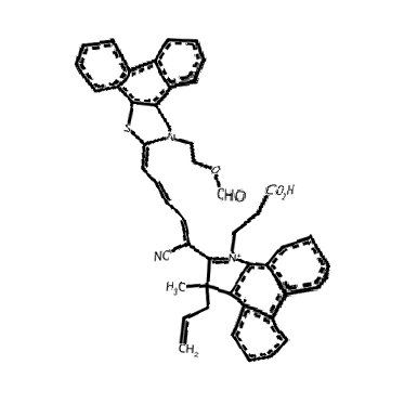 C=CCC1(C)C(/C(C#N)=C/C=C/C=C2/Sc3c(c4ccccc4c4ccccc34)N2CCOC=O)=[N+](CCC(=O)O)c2c1c1ccccc1c1ccccc21